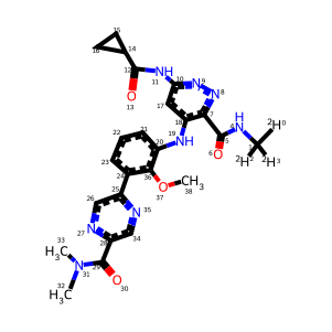 [2H]C([2H])([2H])NC(=O)c1nnc(NC(=O)C2CC2)cc1Nc1cccc(-c2cnc(C(=O)N(C)C)cn2)c1OC